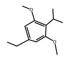 CCc1cc(OC)c(C(C)C)c(OC)c1